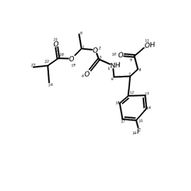 CC(OC(=O)NCC(CC(=O)O)c1ccc(F)cc1)OC(=O)C(C)C